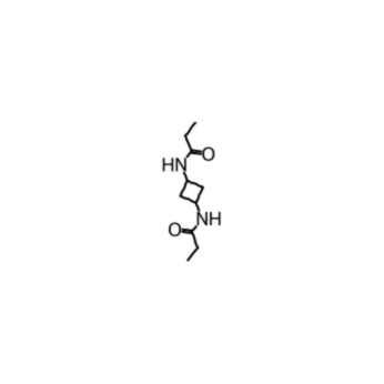 CCC(=O)NC1CC(NC(=O)CC)C1